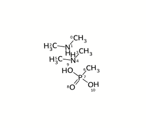 CNC.CNC.CP(=O)(O)O